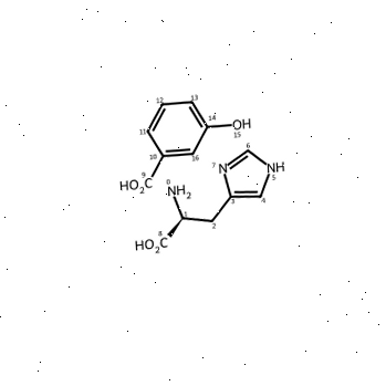 N[C@@H](Cc1c[nH]cn1)C(=O)O.O=C(O)c1cccc(O)c1